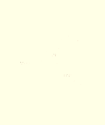 COCCCn1cc(CNC2CC2)c2cccc(C)c21